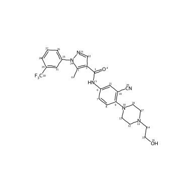 Cc1c(C(=O)Nc2ccc(N3CCN(CCO)CC3)c(C#N)c2)cnn1-c1cccc(C(F)(F)F)c1